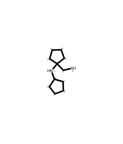 SCC1(NC2CCCC2)CCCC1